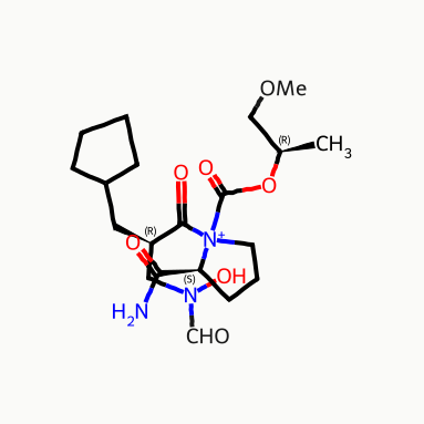 COC[C@@H](C)OC(=O)[N+]1(C(=O)[C@H](CC2CCCC2)CN(O)C=O)CCC[C@H]1C(N)=O